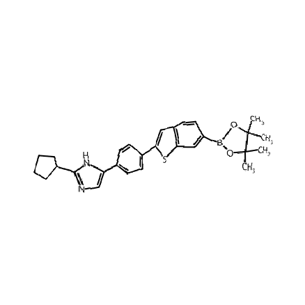 CC1(C)OB(c2ccc3cc(-c4ccc(-c5cnc(C6CCCC6)[nH]5)cc4)sc3c2)OC1(C)C